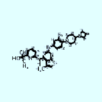 Cc1csc2nc(Nc3ccc(N4CCC(N5CCC5)CC4)c(F)c3)nc(Nc3cccc(C(C)(C)O)n3)c12